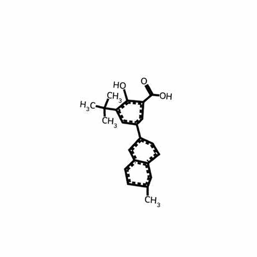 Cc1ccc2cc(-c3cc(C(=O)O)c(O)c(C(C)(C)C)c3)ccc2c1